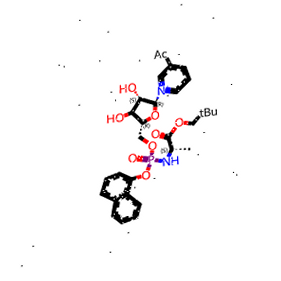 CC(=O)c1ccc[n+]([C@@H]2O[C@H](COP(=O)(N[C@@H](C)C(=O)OCC(C)(C)C)Oc3cccc4ccccc34)C(O)[C@@H]2O)c1